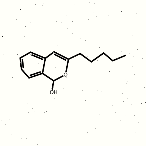 CCCCCC1=Cc2ccccc2C(O)O1